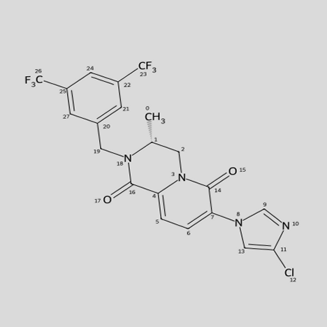 C[C@@H]1Cn2c(ccc(-n3cnc(Cl)c3)c2=O)C(=O)N1Cc1cc(C(F)(F)F)cc(C(F)(F)F)c1